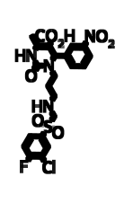 CC1=C(C(=O)O)C(c2cccc([N+](=O)[O-])c2)N(CCCNCS(=O)(=O)c2ccc(F)c(Cl)c2)C(=O)N1